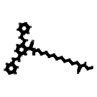 CCOC(=O)CCCCCCCCCCCNC(=O)c1cc(OCc2ccccc2)ccc1OCc1ccccc1